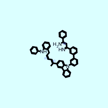 C/C(=C\C=C/Cc1ccccc1Nc1ccccc1)c1ccc2c(c1)c1ccccc1n2-c1cccc(-c2cccc(C(=N)/C=C(\N)c3ccccc3)c2)c1